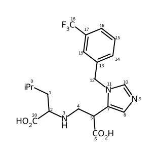 CC(C)CC(NCC(C(=O)O)c1cncn1Cc1cccc(C(F)(F)F)c1)C(=O)O